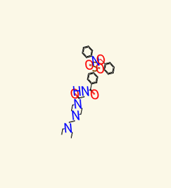 CCN(CC)CCN1CCN(C(=O)CNC(=O)c2ccc(S(=O)(=O)N(Oc3ccccc3)c3ccccc3)cc2)CC1